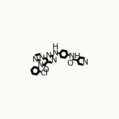 O=C(Nc1ccc(Nc2ncc3c(=O)n(-c4ccccc4Cl)c4nccn4c3n2)cc1)c1ccncc1